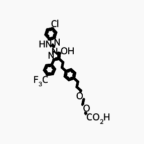 O=C(O)COCCOCCCc1ccc(CCc2c(-c3ccc(C(F)(F)F)cc3)nn(-c3nc4cc(Cl)ccc4[nH]3)c2O)cc1